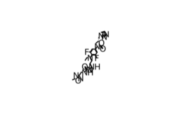 CCN(CCNN(C)C(=O)NCc1noc(C)n1)c1c(F)cc(N2C[C@H](Cn3ccnn3)OC2=O)cc1F